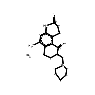 Cc1cc2c(c3c1CCC(CN1CCCCC1)C3=O)CCC(=O)N2.Cl